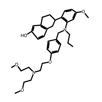 CCCN(Cc1ccc(OCCN(CCOC)CCOC)cc1)c1cc(OC)ccc1C1CCc2cc(O)ccc2C1